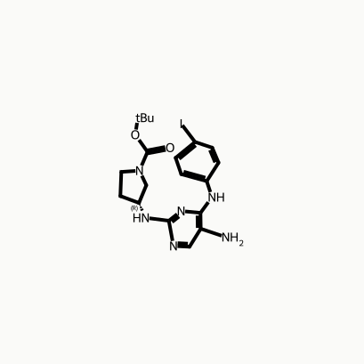 CC(C)(C)OC(=O)N1CC[C@@H](Nc2ncc(N)c(Nc3ccc(I)cc3)n2)C1